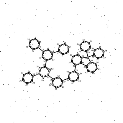 c1ccc(-c2cc(-c3ccccc3)cc(-c3nc(-c4ccccc4)nc(-c4cccc(-c5cccc(-c6cccc7c6-c6ccccc6C7(c6ccccc6)c6ccccc6)c5)c4)n3)c2)cc1